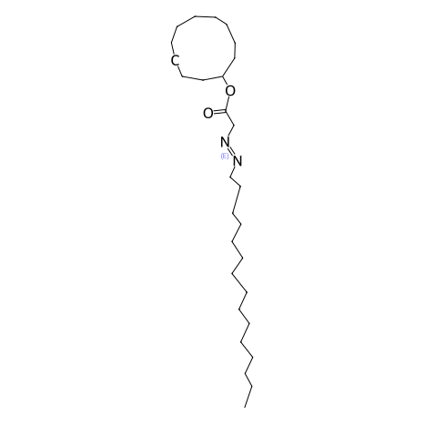 CCCCCCCCCCCCCCC/N=N/CC(=O)OC1CCCCCCCCCC1